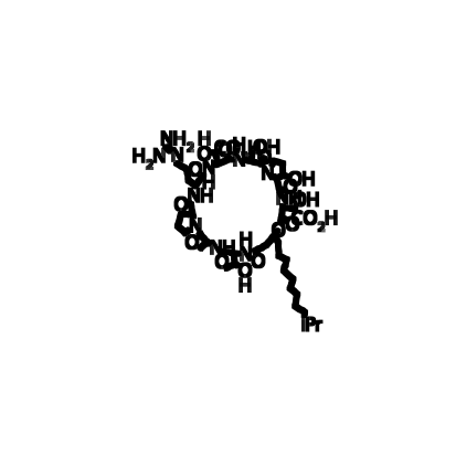 CC(C)CCCCCCCCCC1CC(=O)NC(C(C)O)C(=O)NC(C)C(=O)N2CCCC2C(=O)NC(CCCN=C(N)N)C(=O)NC(C(O)C(=O)O)C(=O)NC(CO)C(=O)N2CCC(O)C2C(=O)NC(C(O)C(=O)O)C(=O)O1